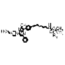 Cc1nn2c(N3CCN(CCO)CC3)cc(-c3ccccc3)nc2c1-c1ccc(C#CCCCCCCNC(=O)OC(C)(C)C)cc1